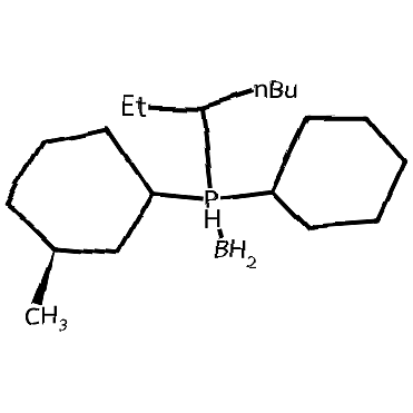 B[PH](C(CC)CCCC)(C1CCCCC1)C1CCC[C@H](C)C1